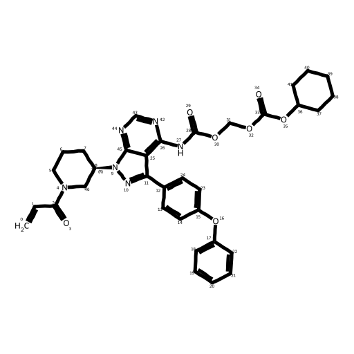 C=CC(=O)N1CCC[C@@H](n2nc(-c3ccc(Oc4ccccc4)cc3)c3c(NC(=O)OCOC(=O)OC4CCCCC4)ncnc32)C1